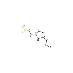 CCCC1CCN(CCSC)C1